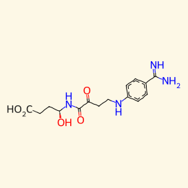 N=C(N)c1ccc(NCCC(=O)C(=O)N[C@@H](O)CCC(=O)O)cc1